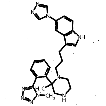 Cn1nnnc1-c1ccccc1C1(C)CNCCN1CCCc1c[nH]c2ccc(-n3cnnc3)cc12